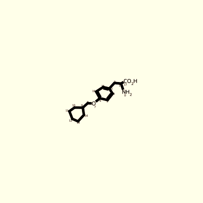 NC(Cc1ccc(OCC2CCCCC2)cc1)C(=O)O